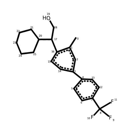 Cc1cc(-c2ccc(C(F)(F)F)cc2)ccc1C(CO)C1CCCCC1